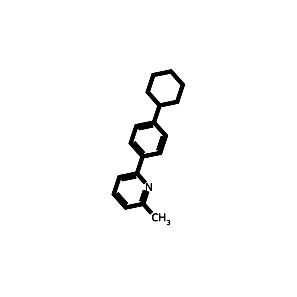 Cc1cccc(-c2ccc(C3CCCCC3)cc2)n1